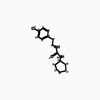 O=C(NCCc1ccc(Cl)cc1)NC1CCCCC1